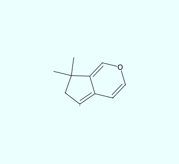 CC1(C)C[C]=C2C=COC=C21